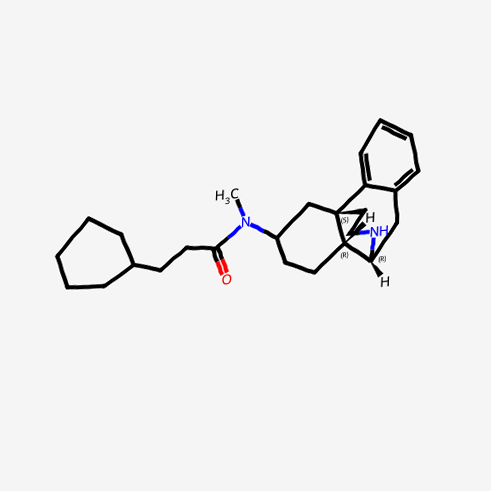 CN(C(=O)CCC1CCCCC1)C1CC[C@H]2[C@H]3Cc4ccccc4[C@@]2(CCN3)C1